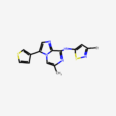 CCc1cc(Nc2nc(C)cn3c(-c4ccsc4)cnc23)sn1